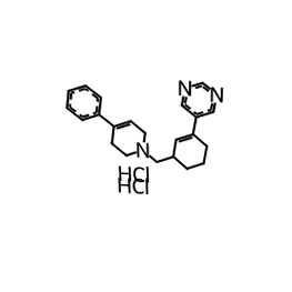 C1=C(c2cncnc2)CCCC1CN1CC=C(c2ccccc2)CC1.Cl.Cl